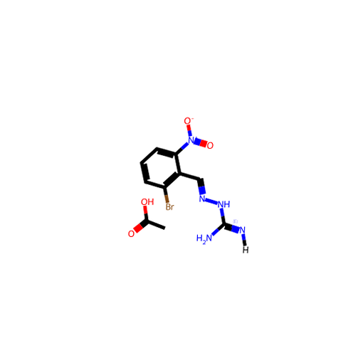 CC(=O)O.[H]/N=C(\N)NN=Cc1c(Br)cccc1[N+](=O)[O-]